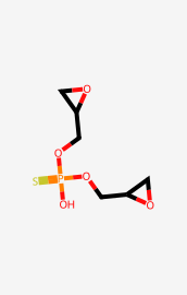 OP(=S)(OCC1CO1)OCC1CO1